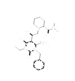 CCn1c(=O)c(C(=O)CN2CCCCC2C(=O)N(C)C)c(N)n(Cc2ccccc2)c1=O